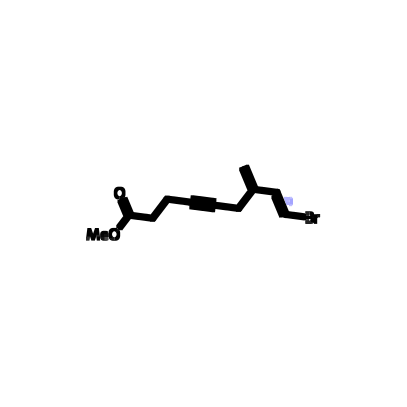 C=C(/C=C/Br)CC#CCCC(=O)OC